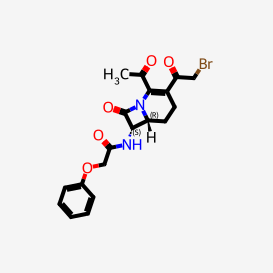 CC(=O)C1=C(C(=O)CBr)CC[C@@H]2[C@H](NC(=O)COc3ccccc3)C(=O)N12